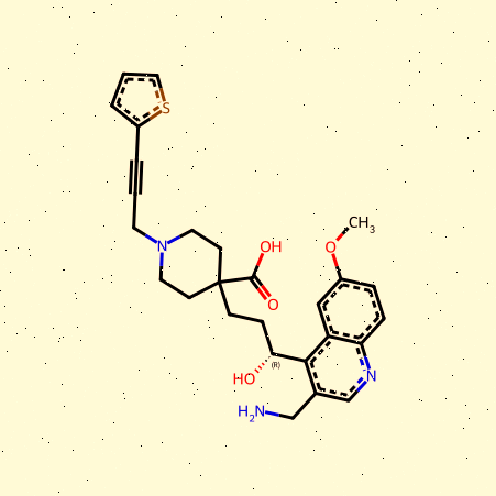 COc1ccc2ncc(CN)c([C@H](O)CCC3(C(=O)O)CCN(CC#Cc4cccs4)CC3)c2c1